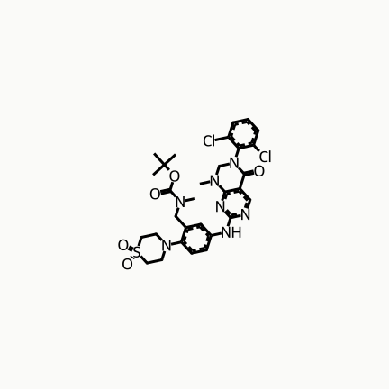 CN(Cc1cc(Nc2ncc3c(n2)N(C)CN(c2c(Cl)cccc2Cl)C3=O)ccc1N1CCS(=O)(=O)CC1)C(=O)OC(C)(C)C